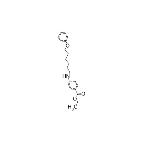 CCOC(=O)c1ccc(NCCCCCCOc2ccccc2)cc1